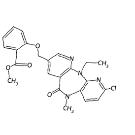 CCN1c2ncc(COc3ccccc3C(=O)OC)cc2C(=O)N(C)c2ccc(Cl)nc21